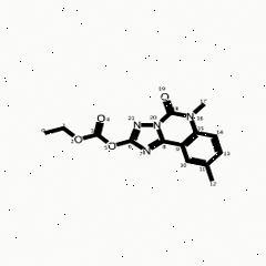 CCOC(=O)Oc1nc2c3cc(C)ccc3n(C)c(=O)n2n1